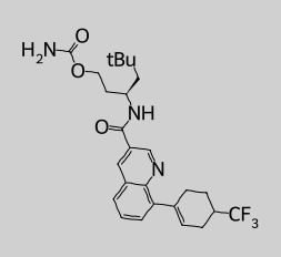 CC(C)(C)C[C@H](CCOC(N)=O)NC(=O)c1cnc2c(C3=CCC(C(F)(F)F)CC3)cccc2c1